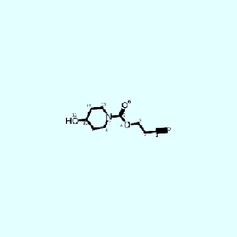 C#CCCOC(=O)N1CCC(O)CC1